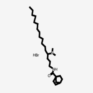 Br.CCCCCCCCCCCCCC(CCCNC(=O)C12CCC(CC1)C2)N(C)C